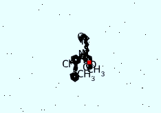 Cc1ccccc1C#Cc1cc(-c2nn(CCCN3CCOCC3)c3c2CN(S(C)(=O)=O)CC3)ccc1Cl